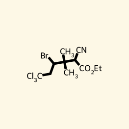 CCOC(=O)C(C#N)C(C)(C)C(Br)CC(Cl)(Cl)Cl